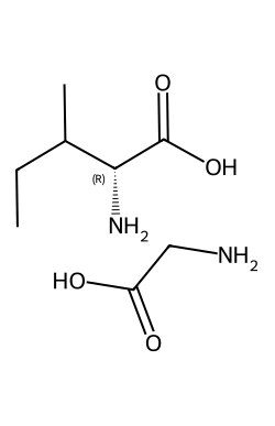 CCC(C)[C@@H](N)C(=O)O.NCC(=O)O